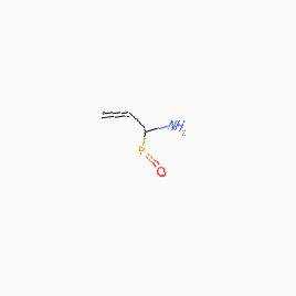 C=CC(N)P=O